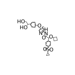 O=C(Nc1ncc(Oc2ccc(C(O)CO)cc2)s1)C(OC1CCC1)c1ccc(S(=O)(=O)C2CC2)cc1